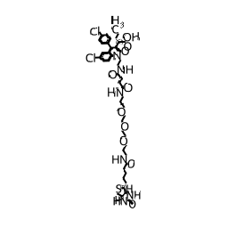 CCC[C@H](C(=O)O)c1c(-c2ccc(Cl)cc2)c2cc(Cl)ccc2n(CCNC(=O)CCC(=O)NCCCOCCOCCOCCCNC(=O)CCCC[C@H]2SC[C@H]3NC(=O)N[C@H]32)c1=O